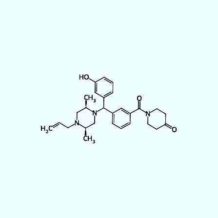 C=CCN1C[C@@H](C)N(C(c2cccc(O)c2)c2cccc(C(=O)N3CCC(=O)CC3)c2)C[C@H]1C